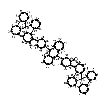 c1ccc2c(c1)-c1ccccc1C21c2ccccc2-c2c1ccc1oc3cc(-c4c5ccccc5c(-c5ccc6c(c5)oc5ccc7c(c56)-c5ccccc5C75c6ccccc6-c6ccccc65)c5ccccc45)ccc3c21